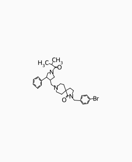 CC(C)C(=O)N1CC(CN2CCC3(CC2)CCN(Cc2ccc(Br)cc2)C3=O)C(c2ccccc2)C1